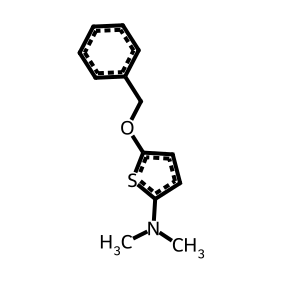 CN(C)c1ccc(OCc2ccccc2)s1